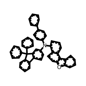 c1ccc(-c2ccc(N(c3ccc4c(c3)C(c3ccccc3)(c3ccccc3)c3ccccc3-4)c3cccc4c3ccc3oc5ccccc5c34)cc2)cc1